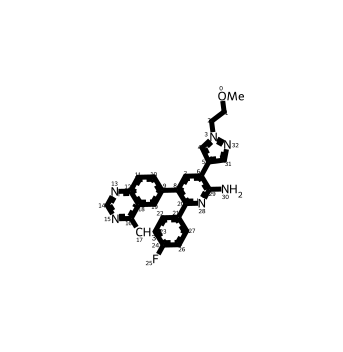 COCCn1cc(-c2cc(-c3ccc4ncnc(C)c4c3)c(-c3ccc(F)cc3)nc2N)cn1